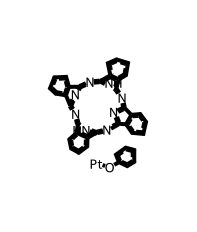 [Pt][O]c1ccccc1.c1ccc2c(c1)-c1nc-2nc2[nH]c(nc3nc(nc4[nH]c(n1)c1ccccc41)-c1ccccc1-3)c1ccccc21